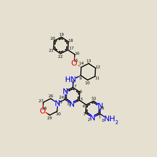 Nc1ncc(-c2cc(N[C@@H]3CCCC[C@H]3OCc3ccccc3)nc(N3CCOCC3)n2)cn1